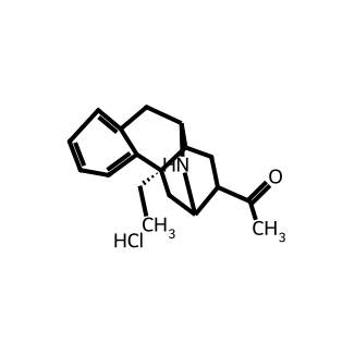 CC[C@]12CC3NC(Cc4ccccc41)C2CC3C(C)=O.Cl